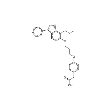 CCCc1c(OCCCOc2ccc(CC(=O)O)cc2)ccc2c(-c3ccccc3)coc12